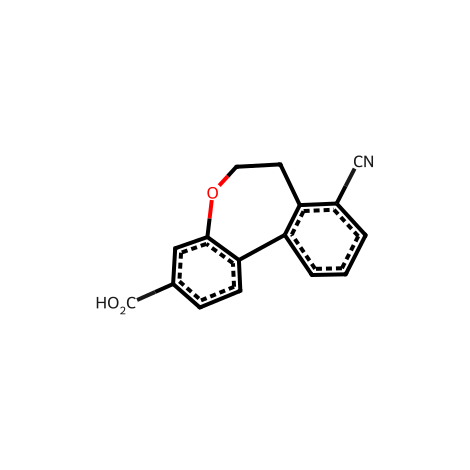 N#Cc1cccc2c1CCOc1cc(C(=O)O)ccc1-2